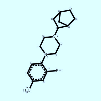 Cc1ccc(N2CCN(C3CC4CCC3C4)CC2)c(F)c1